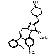 CN1CCN(/C=C2\N=C3CN=C(c4ccccc4Cl)c4cc([N+](=O)[O-])ccc4N3C2=O)CC1.[CaH2]